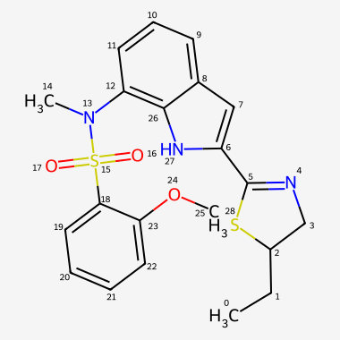 CCC1CN=C(c2cc3cccc(N(C)S(=O)(=O)c4ccccc4OC)c3[nH]2)S1